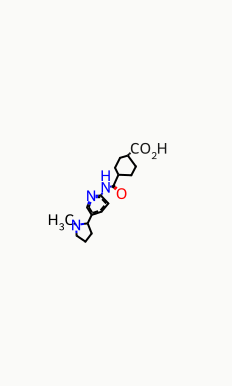 CN1CCCC1c1ccc(NC(=O)C2CCC(C(=O)O)CC2)nc1